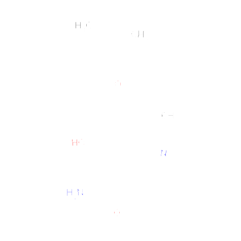 Cc1ncc(C(N)=O)c(O)c1-c1ccc(C(C)C)o1